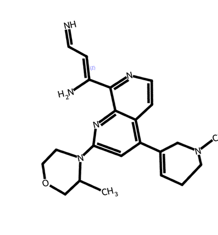 CC1COCCN1c1cc(C2=CCCN(C)C2)c2ccnc(/C(N)=C/C=N)c2n1